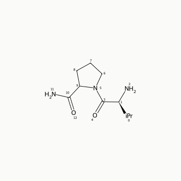 CC(C)[C@H](N)C(=O)N1CCCC1C(N)=O